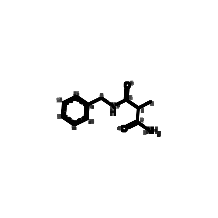 CC(C(N)=O)C(=O)NCc1ccccc1